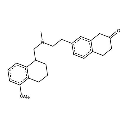 COc1cccc2c1CCCC2CN(C)CCc1ccc2c(c1)CC(=O)CC2